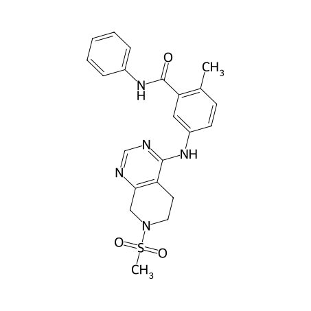 Cc1ccc(Nc2ncnc3c2CCN(S(C)(=O)=O)C3)cc1C(=O)Nc1ccccc1